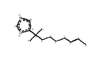 CCCCCCCC(C)(C)c1cnco1